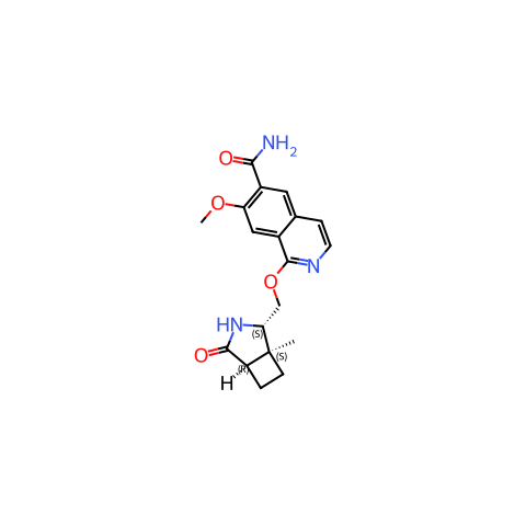 COc1cc2c(OC[C@H]3NC(=O)[C@@H]4CC[C@]34C)nccc2cc1C(N)=O